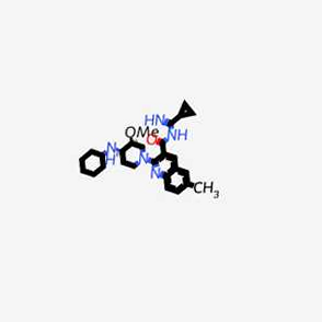 CO[C@H]1CN(c2nc3ccc(C)cc3cc2C(=O)NC(=N)C2CC2)CC[C@H]1NC1CCCCC1